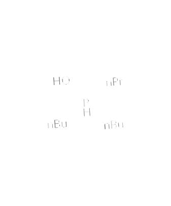 CCCC[PH](O)(CCC)CCCC